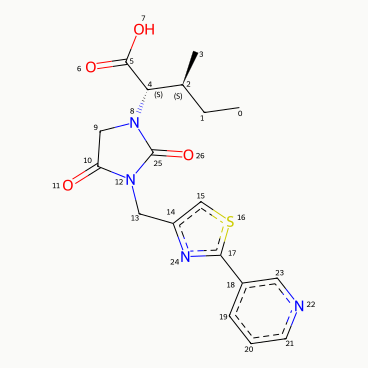 CC[C@H](C)[C@@H](C(=O)O)N1CC(=O)N(Cc2csc(-c3cccnc3)n2)C1=O